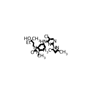 CCC(C)(O)CCn1c(=O)n(C)c2ccc(Nc3nc(-n4nc(C)cc4C)ncc3Cl)cc21